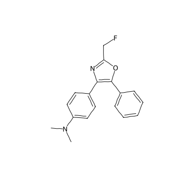 CN(C)c1ccc(-c2nc(CF)oc2-c2ccccc2)cc1